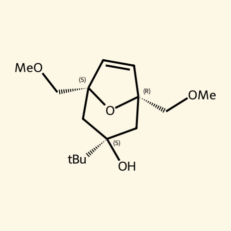 COC[C@@]12C=C[C@@](COC)(C[C@](O)(C(C)(C)C)C1)O2